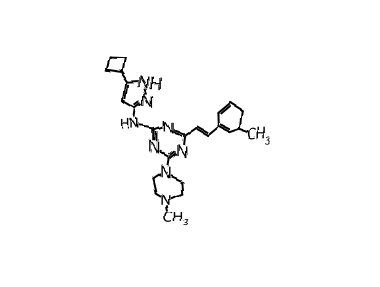 CC1C=C(/C=C/c2nc(Nc3cc(C4CCC4)[nH]n3)nc(N3CCN(C)CC3)n2)C=CC1